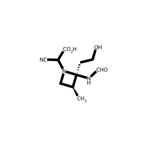 C[C@H]1CN(C(C#N)C(=O)O)[C@@]1(CCO)NC=O